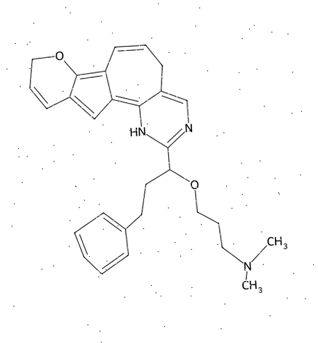 CN(C)CCCOC(CCc1ccccc1)C1=NC=C2CC=CC3=C4OCC=CC4=CC3=C2N1